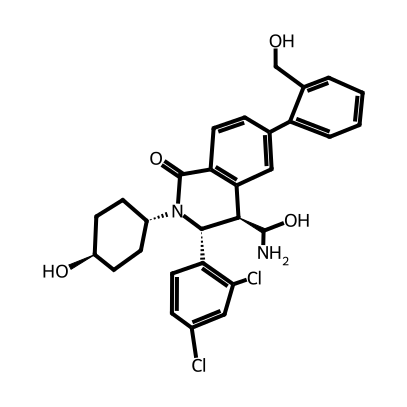 NC(O)[C@@H]1c2cc(-c3ccccc3CO)ccc2C(=O)N([C@H]2CC[C@H](O)CC2)[C@H]1c1ccc(Cl)cc1Cl